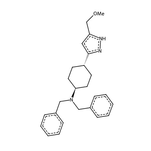 COCc1cc([C@H]2CC[C@H](N(Cc3ccccc3)Cc3ccccc3)CC2)n[nH]1